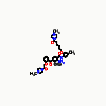 COc1c(C(=O)c2ccccc2OCC(=O)N2CCN(C)CC2)ccc(C(=O)Nc2ccc(C)cc2OCCCCCC(=O)N2CCN(C)CC2)c1N